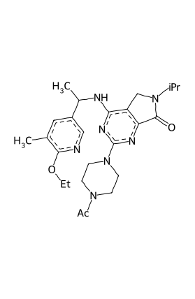 CCOc1ncc(C(C)Nc2nc(N3CCN(C(C)=O)CC3)nc3c2CN(C(C)C)C3=O)cc1C